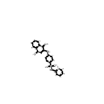 O=C1C=C(Nc2ccc(S(=O)(=O)Nc3ccccn3)cc2)C(=O)c2ccccc21